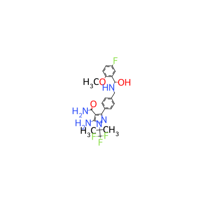 COc1ccc(F)cc1C(O)NCc1ccc(-c2nn(C(C)(C)C(F)(F)F)c(N)c2C(N)=O)cc1